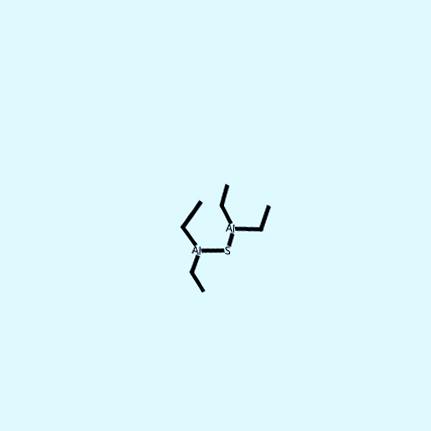 C[CH2][Al]([CH2]C)[S][Al]([CH2]C)[CH2]C